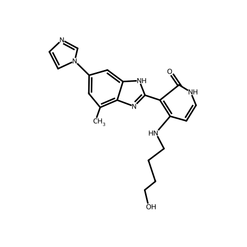 Cc1cc(-n2ccnc2)cc2[nH]c(-c3c(NCCCCO)cc[nH]c3=O)nc12